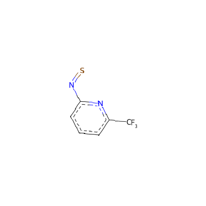 FC(F)(F)c1cccc(N=S)n1